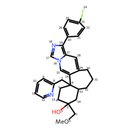 COCC1(O)CCC2(Cc3ccccn3)c3cn4cnc(-c5ccc(F)cc5)c4cc3CCCC2C1